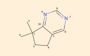 CC1(C)CCc2cn[c]nc21